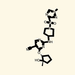 Cn1cnc(S(=O)(=O)N2CCC(Nc3ncc(C#N)c(O[C@@H]4CCC[C@]4(C)O)n3)CC2)n1